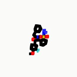 COc1ccc(-c2oc(Cc3ccccc3)nc2-c2ccccc2S(N)(=O)=O)cc1F